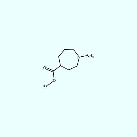 CC1CCCC(C(=O)OC(C)C)CC1